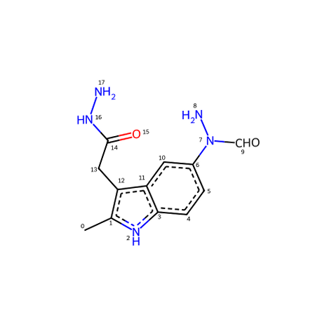 Cc1[nH]c2ccc(N(N)C=O)cc2c1CC(=O)NN